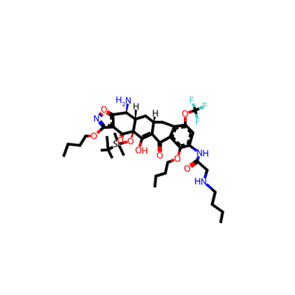 CCCCNCC(=O)Nc1cc(OC(F)(F)F)c2c(c1OCCCC)C(=O)C1=C(O)[C@]3(O[Si](C)(C)C(C)(C)C)C(=O)c4c(OCCCC)noc4[C@@H](N)[C@@H]3C[C@@H]1C2